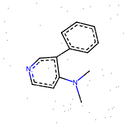 CN(C)c1ccncc1-c1ccccc1